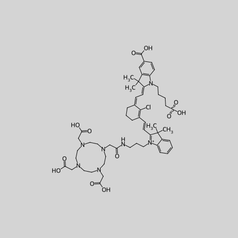 CC1(C)C(=CC=C2CCCC(C=CC3=[N+](CCCNC(=O)CN4CCN(CC(=O)O)CCN(CC(=O)O)CCN(CC(=O)O)CC4)c4ccccc4C3(C)C)=C2Cl)N(CCCCS(=O)(=O)O)c2ccc(C(=O)O)cc21